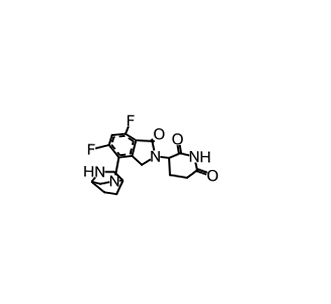 O=C1CCC(N2Cc3c(c(F)cc(F)c3N3CC4CCC3CN4)C2=O)C(=O)N1